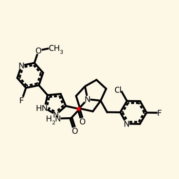 COc1cc(-c2cc(C(=O)N3C4CCC3(Cc3ncc(F)cc3Cl)CC(C(N)=O)C4)n[nH]2)c(F)cn1